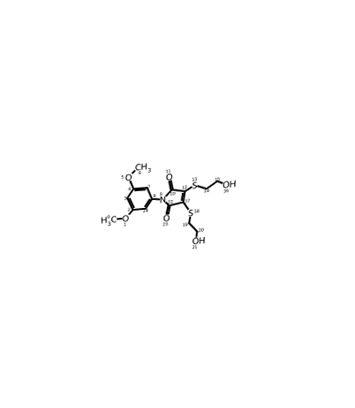 COc1cc(OC)cc(N2C(=O)C(SCCO)=C(SCCO)C2=O)c1